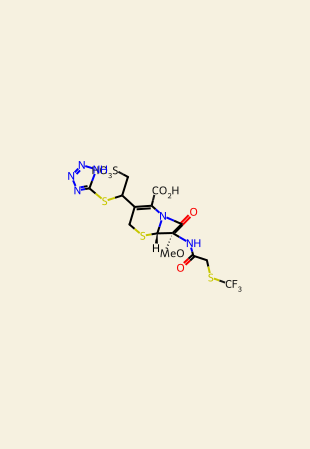 CO[C@@]1(NC(=O)CSC(F)(F)F)C(=O)N2C(C(=O)O)=C(C(CS(=O)(=O)O)Sc3nnn[nH]3)CS[C@H]21